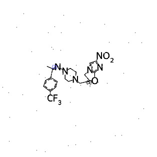 C/C(=N/N1CCN(C[C@@]2(C)Cn3cc([N+](=O)[O-])nc3O2)CC1)c1ccc(C(F)(F)F)cc1